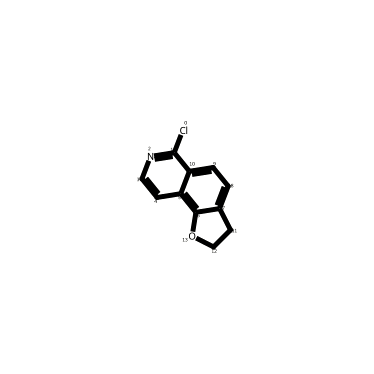 Clc1nccc2c3c(ccc12)CCO3